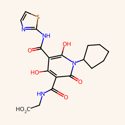 O=C(O)CNC(=O)c1c(O)c(C(=O)Nc2nccs2)c(O)n(C2CCCCC2)c1=O